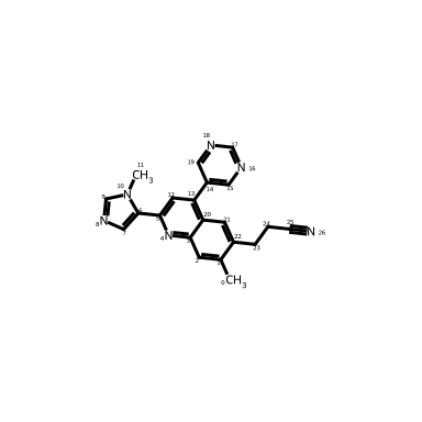 Cc1cc2nc(-c3cncn3C)cc(-c3cncnc3)c2cc1CCC#N